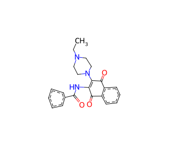 CCN1CCN(C2=C(NC(=O)c3ccccc3)C(=O)c3ccccc3C2=O)CC1